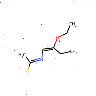 CCO/C(=C/N=C(\C)S)CC